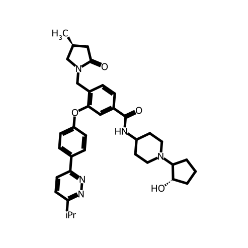 CC(C)c1ccc(-c2ccc(Oc3cc(C(=O)NC4CCN(C5CCC[C@@H]5O)CC4)ccc3CN3C[C@@H](C)CC3=O)cc2)nn1